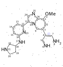 COc1cc(/C(C=N)=C/N)cn2c(-c3cccc(NC4CCNC4)n3)cnc12